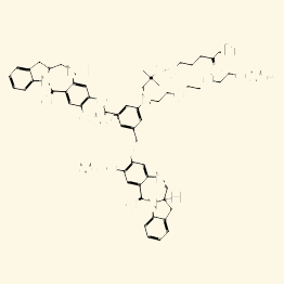 COCCOCCOCCN(CC(C)(C)SSCCCC(=O)C(C)C)c1cc(COc2cc3c(cc2OC)C(=O)N2c4ccccc4C[C@H]2C=N3)cc(COc2cc3c(cc2OC)C(=O)N2c4ccccc4C[C@H]2CN3)c1